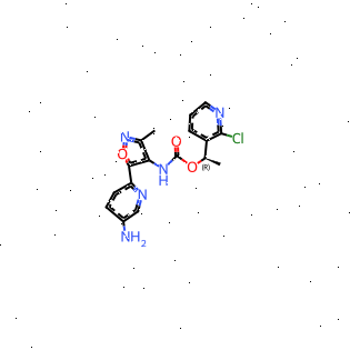 Cc1noc(-c2ccc(N)cn2)c1NC(=O)O[C@H](C)c1cccnc1Cl